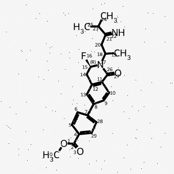 COC(=O)c1ccc(-c2ccc3c(c2)C[C@@H](F)N(C(C)CC(=N)C(C)C)C3=O)cc1